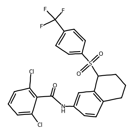 O=C(Nc1ccc2c(c1)C(S(=O)(=O)c1ccc(C(F)(F)F)cc1)CCC2)c1c(Cl)cccc1Cl